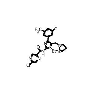 CC[C@@H]1CCCN1Cc1sc(NC(=O)c2cnc(Cl)cn2)nc1-c1cc(F)cc(C(F)(F)F)c1